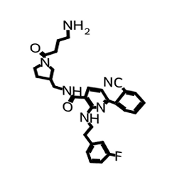 N#Cc1ccccc1-c1ccc(C(=O)NCC2CCN(C(=O)CCCN)C2)c(NCCc2cccc(F)c2)n1